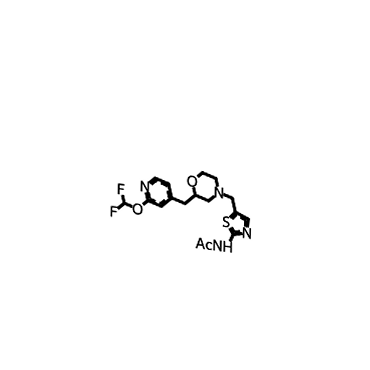 CC(=O)Nc1ncc(CN2CCOC(Cc3ccnc(OC(F)F)c3)C2)s1